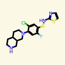 Fc1cc(N2CCC3CCNCC3C2)c(Cl)cc1SNc1nccs1